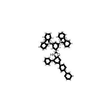 c1ccc(-c2ccc(-c3cc4c(c(-c5ccccc5)c3)N[C@@H](c3cc(-n5c6ccccc6c6ccccc65)cc(-n5c6ccccc6c6ccccc65)c3)O4)cc2)cc1